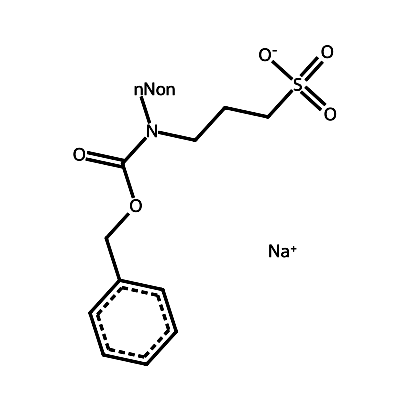 CCCCCCCCCN(CCCS(=O)(=O)[O-])C(=O)OCc1ccccc1.[Na+]